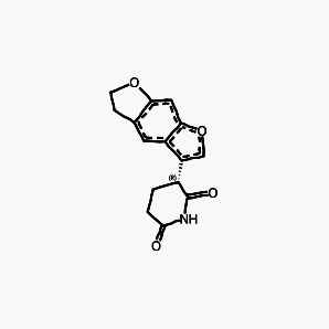 O=C1CC[C@H](c2coc3cc4c(cc23)CCO4)C(=O)N1